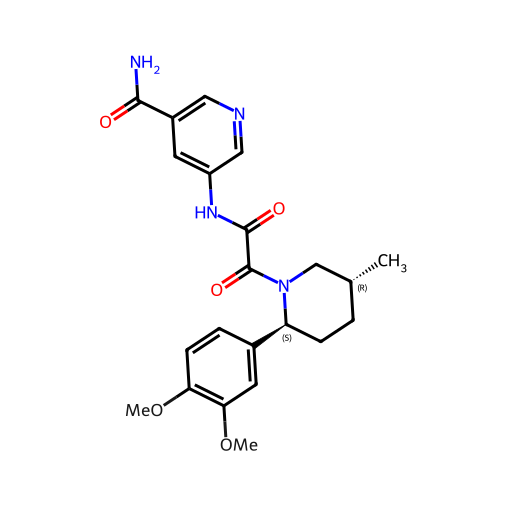 COc1ccc([C@@H]2CC[C@@H](C)CN2C(=O)C(=O)Nc2cncc(C(N)=O)c2)cc1OC